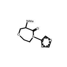 CNC1COCCN(c2cscn2)C1=O